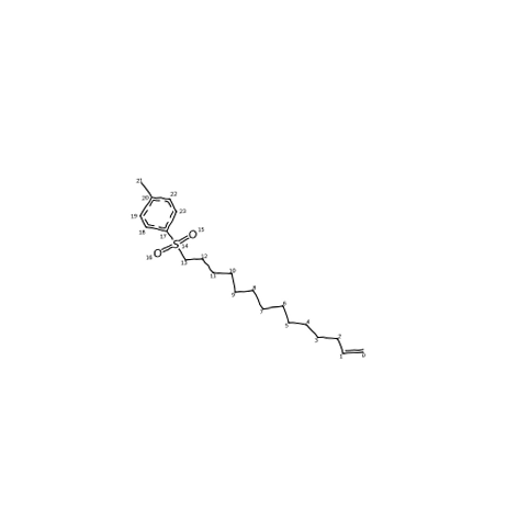 C=CCCCCCCCCCCCCS(=O)(=O)c1ccc(C)cc1